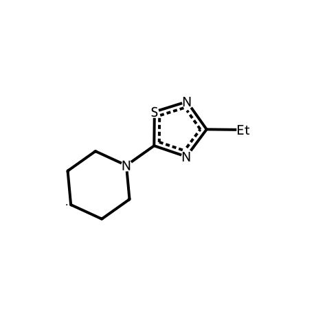 CCc1nsc(N2CC[CH]CC2)n1